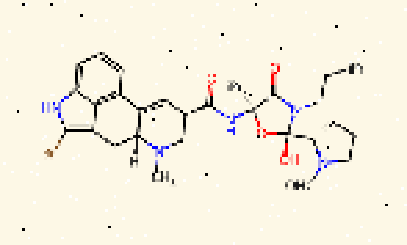 CC(C)CCN1C(=O)[C@@](NC(=O)[C@@H]2C=C3c4cccc5[nH]c(Br)c(c45)C[C@H]3N(C)C2)(C(C)C)O[C@@]1(O)[C@@H]1CCCN1C=O